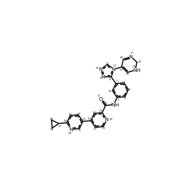 O=C(Nc1cccc(-c2nncn2C2=CNCN=C2)c1)c1cc(-c2ccc(C3CC3)nc2)ccn1